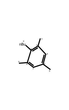 [CH2]CCCc1c(C)cc(C)cc1C